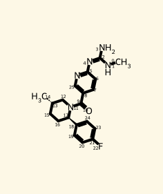 CNC(N)=Nc1ccc(C(=O)N2C[C@@H](C)CC[C@@H]2c2ccc(F)cc2)cn1